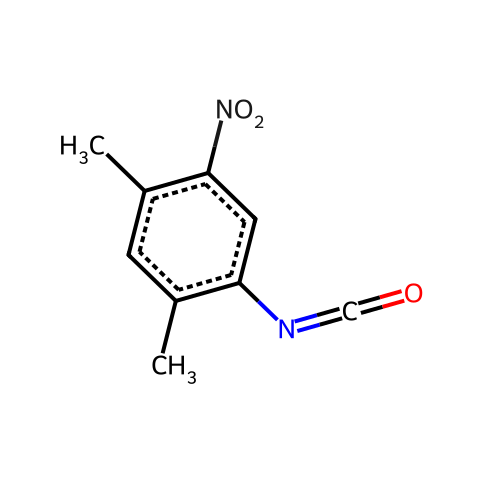 Cc1cc(C)c([N+](=O)[O-])cc1N=C=O